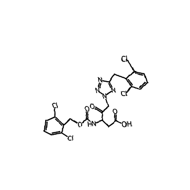 O=C(O)CC(NC(=O)OCc1c(Cl)cccc1Cl)C(=O)Cn1nnc(Cc2c(Cl)cccc2Cl)n1